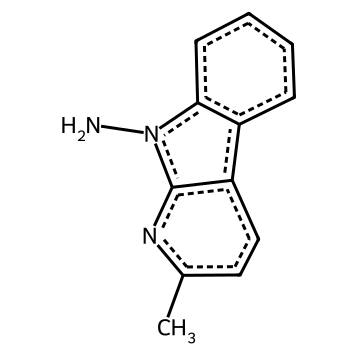 Cc1ccc2c3ccccc3n(N)c2n1